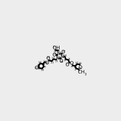 CC1CC(COC(=O)CCCn2c(=O)n(CCO)c(=O)n(CCCC(=O)OCC3CCC4OC4C3)c2=O)CCO1